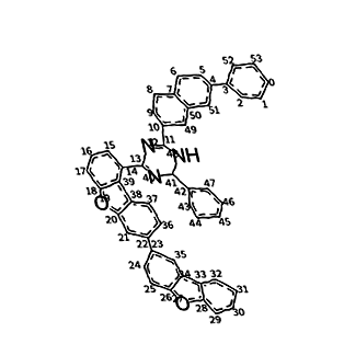 c1ccc(-c2ccc3ccc(C4=NC(c5cccc6oc7cc(-c8ccc9oc%10ccccc%10c9c8)ccc7c56)=NC(c5ccccc5)N4)cc3c2)cc1